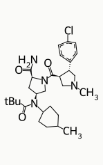 CC1CCC(N(C(=O)C(C)(C)C)[C@H]2C[C@@H](C(N)=O)N(C(=O)[C@@H]3CN(C)C[C@H]3c3ccc(Cl)cc3)C2)CC1